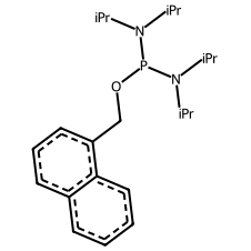 CC(C)N(C(C)C)P(OCc1cccc2ccccc12)N(C(C)C)C(C)C